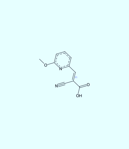 COc1cccc(/C=C(\C#N)C(=O)O)n1